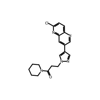 O=C(CCn1cc(-c2cnc3ccc(Cl)nc3c2)cn1)N1CCCCC1